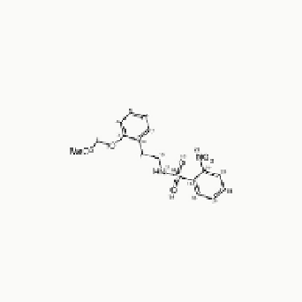 COCOc1ccccc1CCNS(=O)(=O)c1ccccc1[N+](=O)[O-]